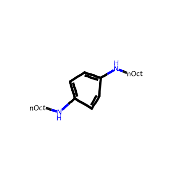 CCCCCCCCNc1ccc(NCCCCCCCC)cc1